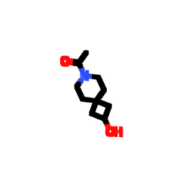 CC(=O)N1CCC2(CC1)CC(O)C2